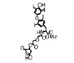 COC(=O)[C@H](Cc1cc(I)c(Oc2cc(I)c(O)c(I)c2)c(I)c1)NC(=O)COCC(=O)OC1CC(=O)NC1=O